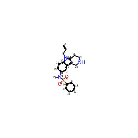 C=CCn1c2c(c3cc(N(C)S(=O)(=O)c4ccccc4)ccc31)CNCC2